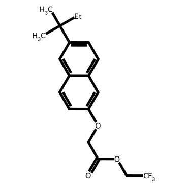 CCC(C)(C)c1ccc2cc(OCC(=O)OCC(F)(F)F)ccc2c1